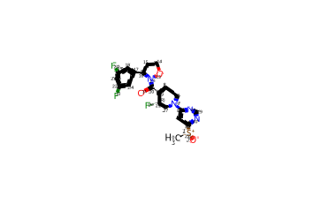 C[S@@+]([O-])c1cc(N2CC[C@@H](C(=O)N3OCC[C@@H]3c3cc(F)cc(F)c3)[C@@H](F)C2)ncn1